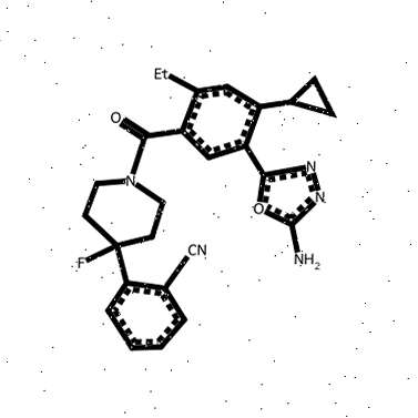 CCc1cc(C2CC2)c(-c2nnc(N)o2)cc1C(=O)N1CCC(F)(c2ccccc2C#N)CC1